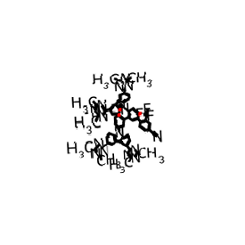 Cc1nc(C)nc(-c2ccc3c(c2)c2cc(-c4nc(C)nc(C)n4)ccc2n3-c2ccc(C#N)c(-c3cc(-c4ccc(C#N)cc4C(F)(F)F)ccc3-n3c4ccc(-c5nc(C)nc(C)n5)cc4c4cc(-c5nc(C)nc(C)n5)ccc43)c2)n1